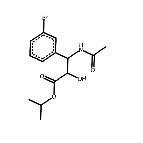 CC(=O)NC(c1cccc(Br)c1)C(O)C(=O)OC(C)C